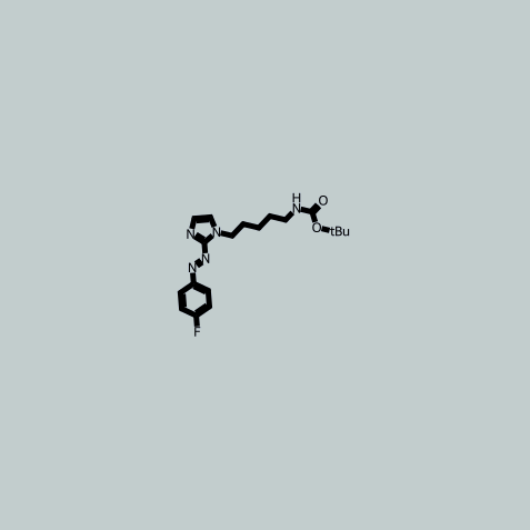 CC(C)(C)OC(=O)NCCCCCn1ccnc1N=Nc1ccc(F)cc1